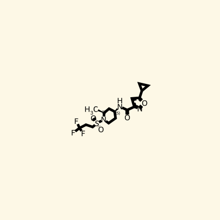 C[C@H]1C[C@@H](NC(=O)c2cc(C3CC3)on2)CCN1S(=O)(=O)CCC(F)(F)F